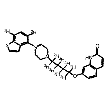 [2H]c1cc([2H])c2sccc2c1N1CCN(C([2H])([2H])C([2H])([2H])C([2H])([2H])C([2H])([2H])Oc2ccc3ccc(=O)[nH]c3c2)CC1